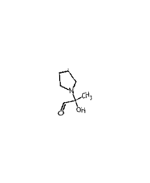 CC(O)(C=O)N1C[CH]CC1